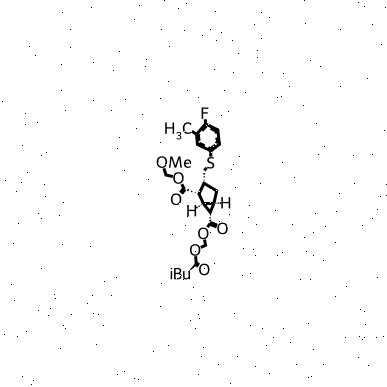 CC[C@H](C)C(=O)OCOC(=O)[C@H]1[C@@H]2C[C@@H](CSc3ccc(F)c(C)c3)[C@@H](C(=O)OCOC)[C@@H]21